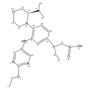 CCOc1ncc(Nc2cc(C(CC)CC(=O)O)ccc2N2CCOC[C@H]2C(C)C)cn1